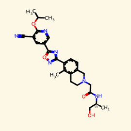 Cc1c(-c2noc(-c3cnc(OC(C)C)c(C#N)c3)n2)ccc2c1CCN(CC(=O)N[C@@H](C)CO)C2